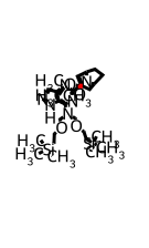 CC(C)(C)OC(=O)N1C2C=C(c3nc(N(COCC[Si](C)(C)C)COCC[Si](C)(C)C)c4[nH]ncc4n3)CC1CC2